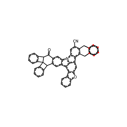 N#Cc1cc2c(c3c1C1c4ccccc4C3c3ccccc31)c1cc3oc4ccccc4c3c3c4cc5c(cc4n2c13)C(=O)C1c2ccccc2C12c1ccccc1C52